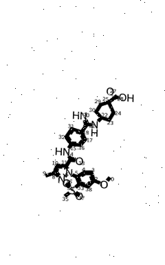 COc1ccc(-n2nc(C)cc2C(=O)Nc2ccc(C(=N)NC3CCC(C(=O)O)CC3)cc2)c(S(C)(=O)=O)c1